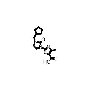 Cc1nc(N2CCN(CC3CCCC3)C2=O)sc1C(=O)O